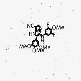 COc1cc(-c2[nH]c3c(C#N)cnn3c2Nc2cc(F)c(OC)c(F)c2)cc(OC)c1OC